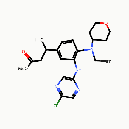 COC(=O)CC(C)c1ccc(N(CC(C)C)C2CCOCC2)c(Nc2cnc(Cl)cn2)c1